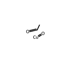 CC=O.[O]=[Cu]